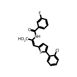 O=C(O)C(=Cc1ccc(-c2ccccc2Cl)s1)NC(=O)c1cccc(F)c1